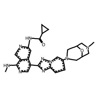 CNc1ncc(-c2nc3ccc(N4CC5CN(C)CC(C4)O5)cn3n2)c2cc(NC(=O)C3CC3)ncc12